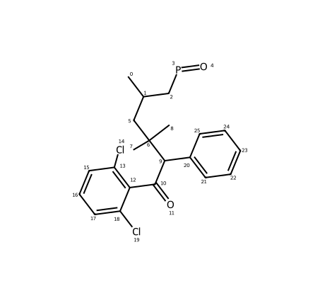 CC(CP=O)CC(C)(C)C(C(=O)c1c(Cl)cccc1Cl)c1ccccc1